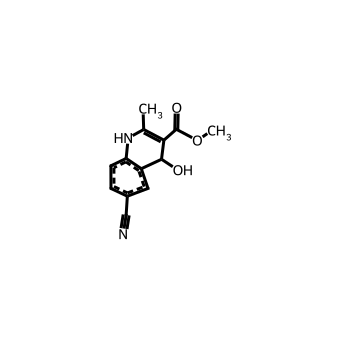 COC(=O)C1=C(C)Nc2ccc(C#N)cc2C1O